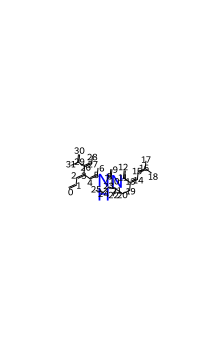 C=C/C=C(\C=C(/C)NC(=C)N1C(=C)/C(=C\C=C(C)C)CCC1(C)CCC)C(=C/C)/C(=C)C